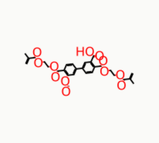 C=C(C)C(=O)OCCOC(=O)c1ccc(-c2ccc(C(=O)OCCOC(=O)C(=C)C)c(C(=O)O)c2)cc1OC=O